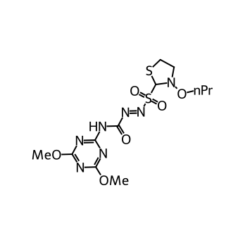 CCCON1CCSC1S(=O)(=O)N=NC(=O)Nc1nc(OC)nc(OC)n1